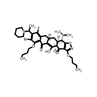 CCCCOc1noc2c1C(=O)[C@@]1(O)C(O)=C3C(=O)c4c(c(F)c(C(C)N5CCCCC5)c(Br)c4OCCCC)C[C@H]3C[C@H]1[C@@H]2N(C)C